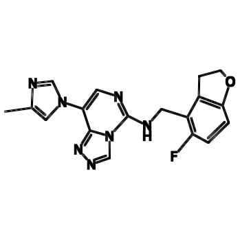 Cc1cn(-c2cnc(NCc3c(F)ccc4c3CCO4)n3cnnc23)cn1